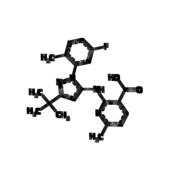 Cc1ccc(C(=O)O)c(Nc2cc(C(C)(C)C)nn2-c2cc(F)ccc2C)n1